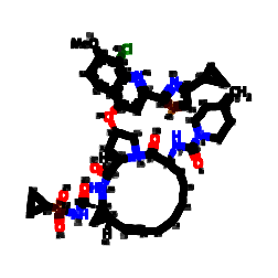 C=C1CCN(C(=O)N[C@H]2CCCCCC=C[C@@H]3C[C@@]3(C(=O)NS(=O)(=O)C3CC3)NC(=O)[C@@H]3C[C@@H](Oc4cc(-c5nc(C6CC6)cs5)nc5c(Cl)c(OC)ccc45)CN3C2=O)CC1